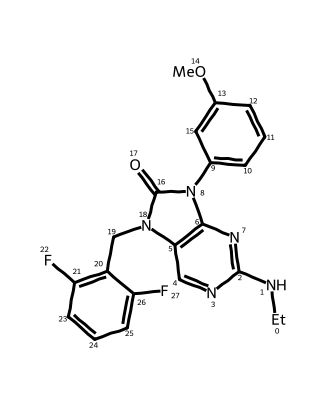 CCNc1ncc2c(n1)n(-c1cccc(OC)c1)c(=O)n2Cc1c(F)cccc1F